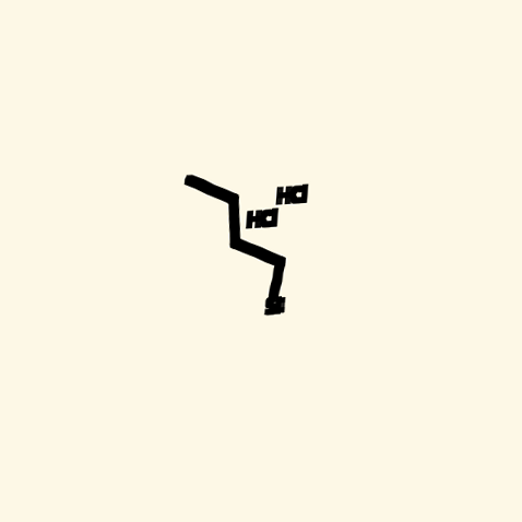 CCCC[Si].Cl.Cl